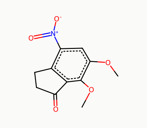 COc1cc([N+](=O)[O-])c2c(c1OC)C(=O)CC2